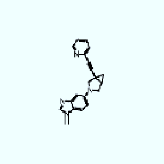 C(#CC12CC1CN(c1ccc3[nH]cnc3c1)C2)c1ccccn1